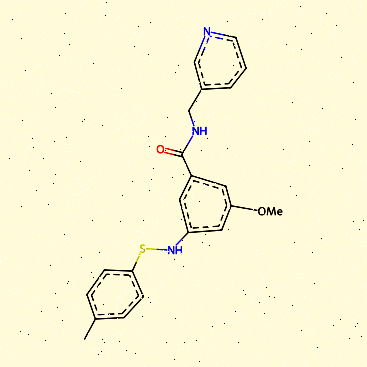 COc1cc(NSc2ccc(C)cc2)cc(C(=O)NCc2cccnc2)c1